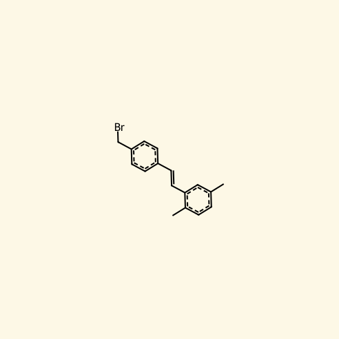 Cc1ccc(C)c(C=Cc2ccc(CBr)cc2)c1